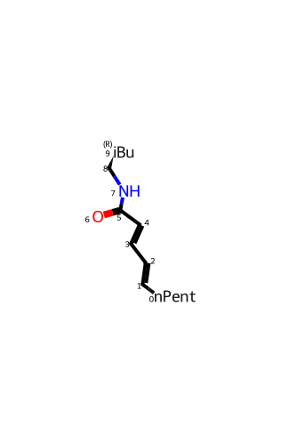 CCCCCC=CC=CC(=O)NC[C@H](C)CC